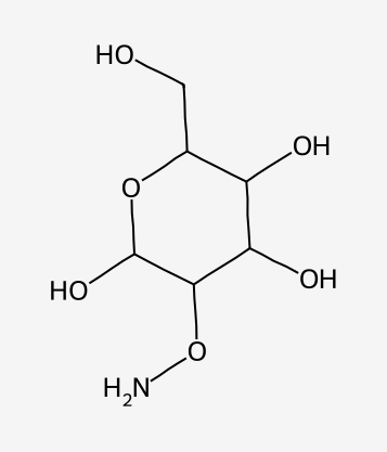 NOC1C(O)OC(CO)C(O)C1O